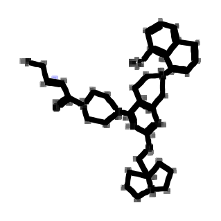 Cc1cccc2cccc(N3CCc4c(nc(OCC56CCCN5CCC6)nc4N4CCN(C(=O)/C=C/CF)CC4)C3)c12